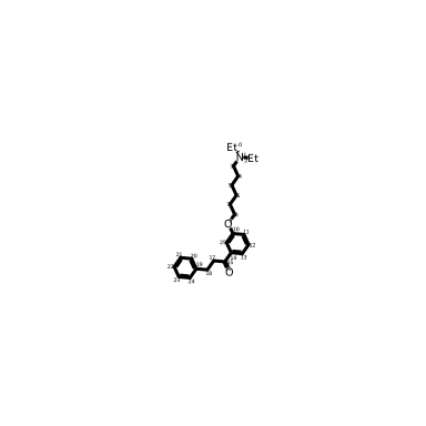 CCN(CC)CCCCCCOc1cccc(C(=O)CCc2ccccc2)c1